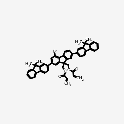 C=CC(=O)OCC1(COC(=O)C=C)c2cc(-c3ccc4c(c3)C(C)(C)c3ccccc3-4)ccc2-c2c(Br)cc(-c3ccc4c(c3)C(C)(C)c3ccccc3-4)cc21